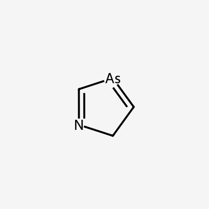 C1=NCC=[As]1